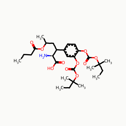 CCCC(=O)OC(C)CC(c1ccc(OC(=O)OC(C)(C)CC)c(OC(=O)OC(C)(C)CC)c1)[C@H](N)C(=O)O